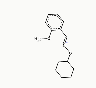 COc1ccccc1/[C]=N/OC1CCCCC1